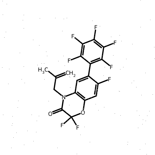 C=C(C)CN1C(=O)C(F)(F)Oc2cc(F)c(-c3c(F)c(F)c(F)c(F)c3F)cc21